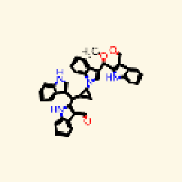 COC(c1[nH]c2ccccc2c1C=O)c1cn(C2CC2C(c2[nH]c3ccccc3c2C=O)c2c[nH]c3ccccc23)c2ccccc12